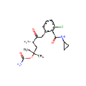 C[C@@H](CC(C)(C)OC(N)=O)C(=O)Cc1cccc(Cl)c1C(=O)NC1CC1